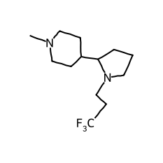 CN1CCC(C2CCCN2CCC(F)(F)F)CC1